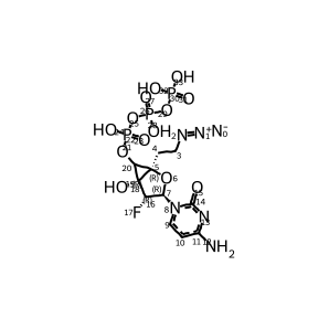 [N-]=[N+]=NCC[C@]12O[C@@H](n3ccc(N)nc3=O)[C@H](F)[C@@]1(O)C2OP(=O)(O)OP(=O)(O)OP(=O)(O)O